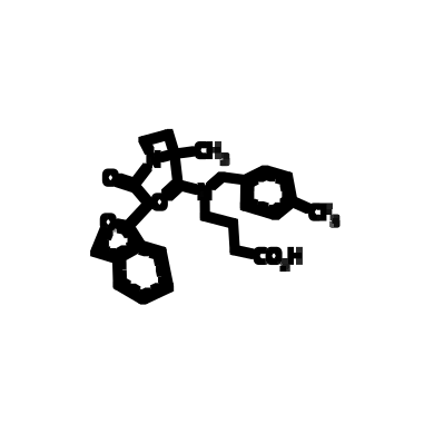 CC1(C(=O)N(CCCC(=O)O)Cc2ccc(C(F)(F)F)cc2)CCN1C(=O)Cc1occ2ccccc12